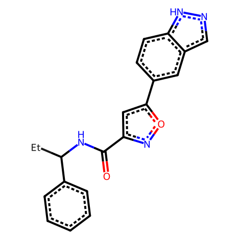 CCC(NC(=O)c1cc(-c2ccc3[nH]ncc3c2)on1)c1ccccc1